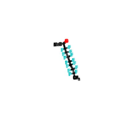 COC(=O)C(F)(F)C(F)(F)C(F)(F)C(F)(F)C(F)(F)C(F)(F)C(C)(F)F